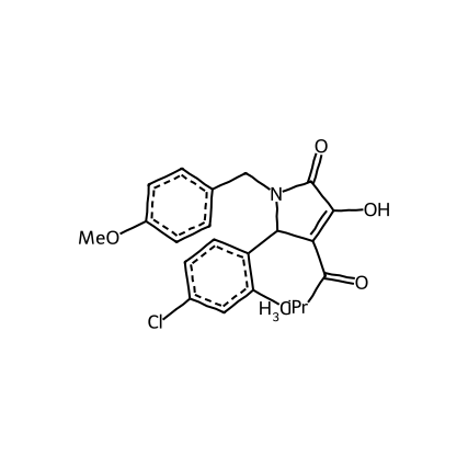 COc1ccc(CN2C(=O)C(O)=C(C(=O)C(C)C)C2c2ccc(Cl)cc2C)cc1